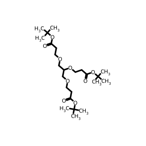 CC(C)(C)OC(=O)CCOCC(COCCC(=O)OC(C)(C)C)OCCC(=O)OC(C)(C)C